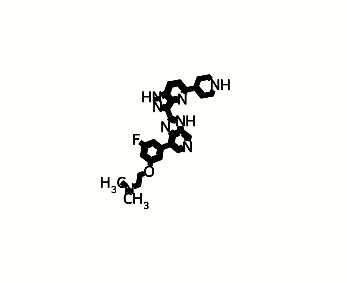 CN(C)CCOc1cc(F)cc(-c2cncc3[nH]c(-c4n[nH]c5ccc(C6=CCNCC6)nc45)nc23)c1